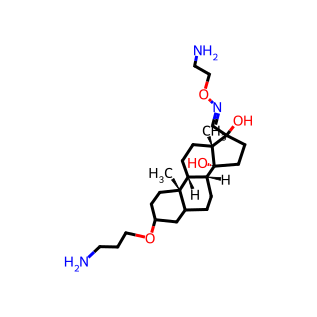 C[C@]12CCC(OCCCN)CC1CC[C@@H]1[C@H]2CC[C@]2(C)C(O)(/C=N/OCCN)CC[C@@]12O